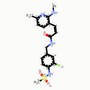 CC(C)Nc1nc(C(F)(F)F)ccc1/C=C\C(=O)NCc1ccc(NS(C)(=O)=O)c(F)c1